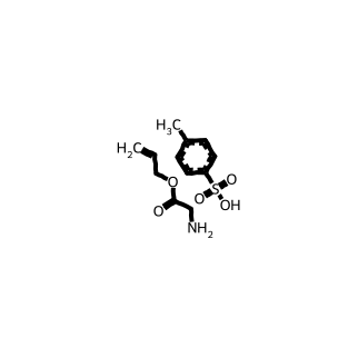 C=CCOC(=O)CN.Cc1ccc(S(=O)(=O)O)cc1